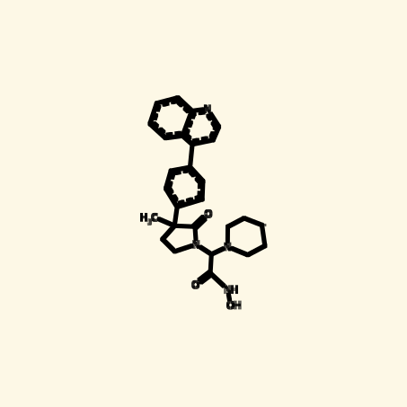 CC1(c2ccc(-c3ccnc4ccccc34)cc2)CCN(C(C(=O)NO)N2CC[CH]CC2)C1=O